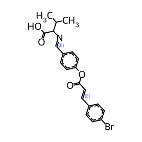 CC(C)C(/N=C/c1ccc(OC(=O)/C=C/c2ccc(Br)cc2)cc1)C(=O)O